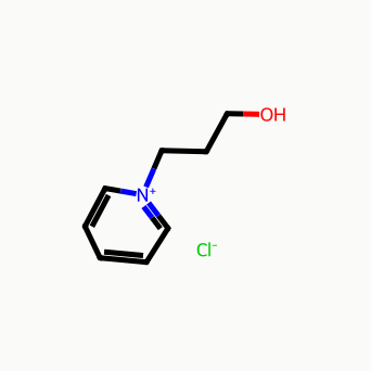 OCCC[n+]1ccccc1.[Cl-]